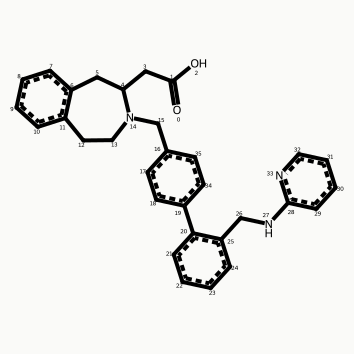 O=C(O)CC1Cc2ccccc2CCN1Cc1ccc(-c2ccccc2CNc2ccccn2)cc1